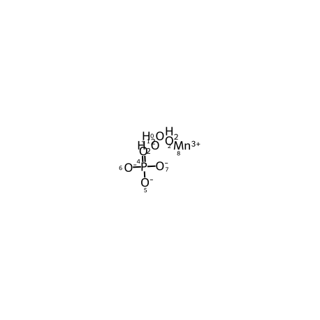 O.O.O.O=P([O-])([O-])[O-].[Mn+3]